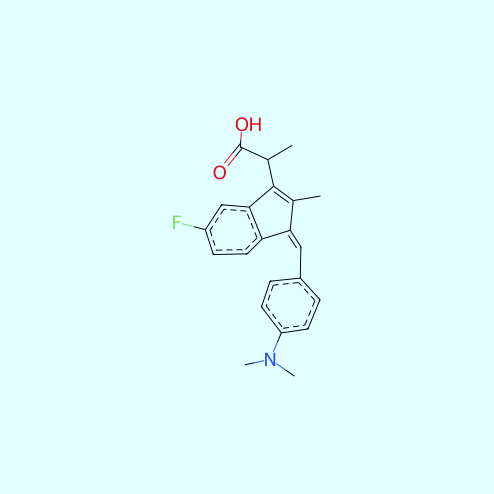 CC1=C(C(C)C(=O)O)c2cc(F)ccc2/C1=C\c1ccc(N(C)C)cc1